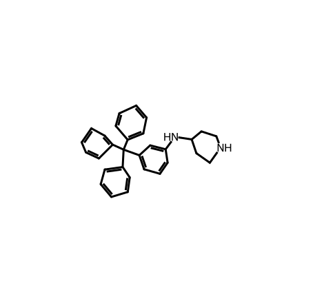 c1ccc(C(c2ccccc2)(c2ccccc2)c2cccc(NC3CCNCC3)c2)cc1